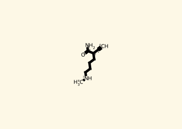 C#CC(CCCCNC)C(N)=O